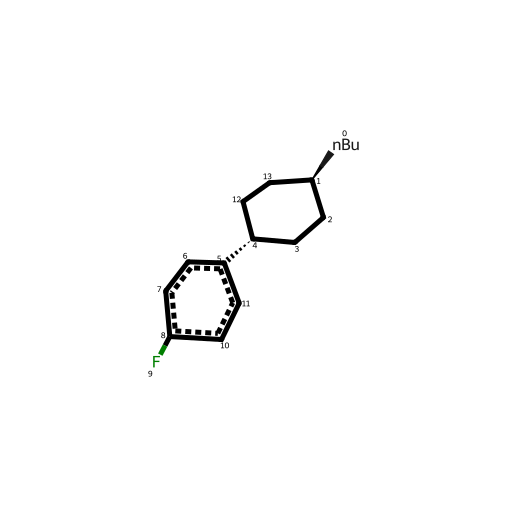 CCCC[C@H]1CC[C@H](c2ccc(F)cc2)CC1